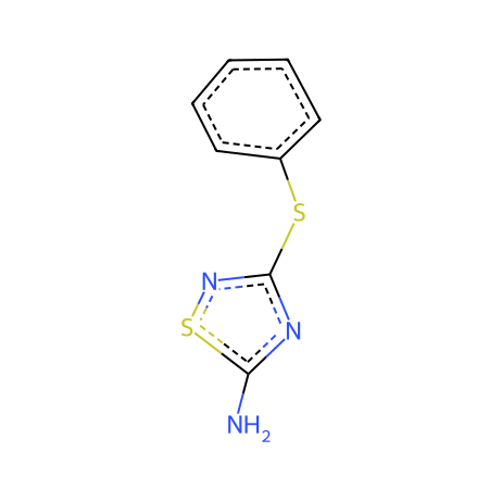 Nc1nc(Sc2ccccc2)ns1